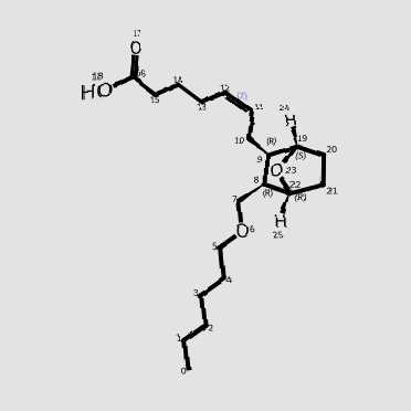 CCCCCCOC[C@H]1[C@@H](C/C=C\CCCC(=O)O)[C@@H]2CC[C@H]1O2